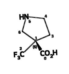 O=C(O)[C@]1(C(F)(F)F)CCNC1